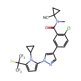 CN(C(=O)c1cc(-c2cnn(-c3ccc(C(F)(C(F)(F)F)C(F)(F)F)n3C3CC3)c2)ccc1Cl)C1(C#N)CC1